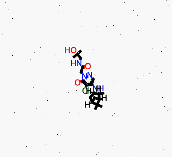 C[C@@H]1[C@H]2C[C@@H](C[C@H]1Nc1cnn(CC(=O)NCC(C)(C)O)c(=O)c1Cl)C2(C)C